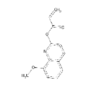 C=CC(=O)Oc1ccc2cccc(OC)c2n1